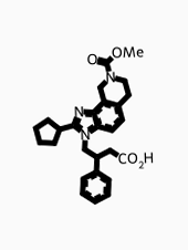 COC(=O)N1CCc2ccc3c(nc(C4CCCC4)n3CC(CC(=O)O)c3ccccc3)c2C1